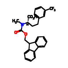 CN(C(=O)OCC1c2ccccc2-c2ccccc21)[C@@H](CCc1cccc(C(F)(F)F)c1)C(=O)O